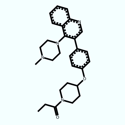 CCC(=O)N1CCC(Oc2ccc(-c3cnc4ccccc4c3N3CCN(C)CC3)cc2)CC1